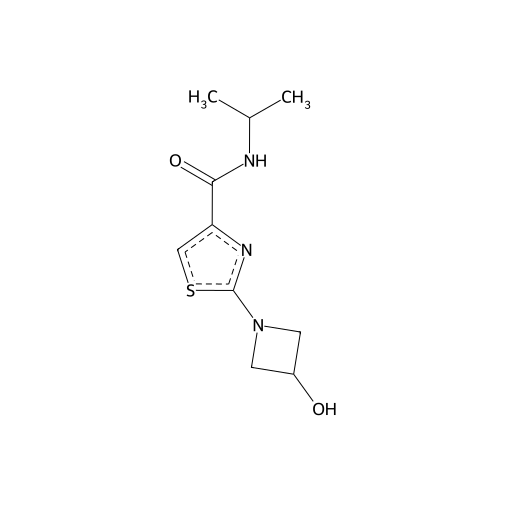 CC(C)NC(=O)c1csc(N2CC(O)C2)n1